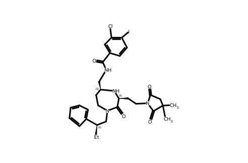 CC[C@H](CN1CC[C@@H](CNC(=O)c2ccc(I)c(Cl)c2)N[C@@H](CCN2C(=O)CC(C)(C)C2=O)C1=O)c1ccccc1